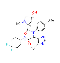 Cc1nc[nH]c1C(C(=O)NC1CCC(F)(F)CC1)N(C(=O)[C@H]1C[C@@H](O)CN1C#N)c1ccc(C(C)(C)C)cc1